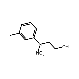 Cc1cccc(N(CCO)[N+](=O)[O-])c1